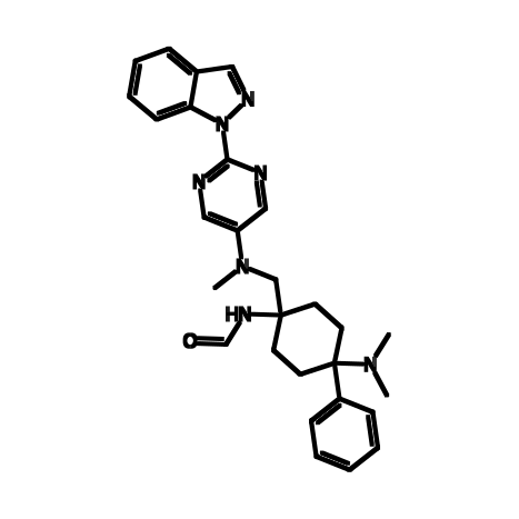 CN(CC1(NC=O)CCC(c2ccccc2)(N(C)C)CC1)c1cnc(-n2ncc3ccccc32)nc1